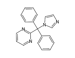 c1ccc(C(c2ccccc2)(c2ncccn2)n2ccnc2)cc1